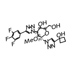 CO[C@@H]1[C@@H](n2cc(-c3cc(F)c(F)c(F)c3)nn2)[C@@H](O)[C@@H](CO)O[C@@H]1Cn1cc(C2(O)CCC2)nn1